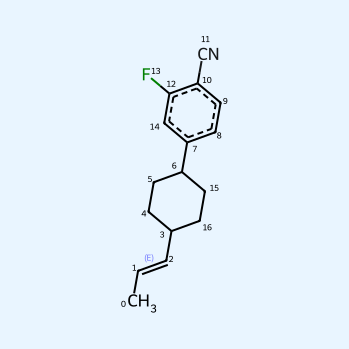 C/C=C/C1CCC(c2ccc(C#N)c(F)c2)CC1